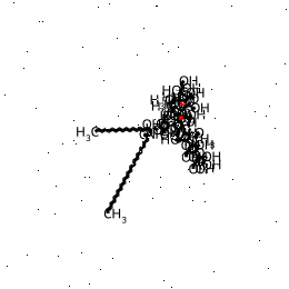 CCCCCCCCCCCCC/C=C/[C@@H](O)[C@H](CO[C@@H]1OC(CO)[C@@H](O[C@@H]2OC(CO)[C@H](O[C@@H]3OC(CO)[C@H](O)[C@H](O[C@@H]4OC(CO)[C@H](O)[C@H](O[C@H]5OC(CO)[C@H](O)[C@H](O)C5O)C4O)C3NC(C)=O)[C@H](O[C@]3(C(=O)O)CC(O)[C@@H](NC(C)=O)C([C@H](O)[C@@H](CO)O[C@]4(C(=O)O)CC(O)[C@@H](NC(C)=O)C([C@H](O)[C@H](O)CO)O4)O3)C2O)[C@H](O)C1O)NC(=O)CCCCCCCCCCCCCCCCCCCCCCCCC